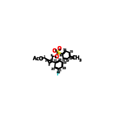 CC(=O)OCC1CC1(COS(=O)(=O)c1ccc(C)cc1)c1cccc(F)c1